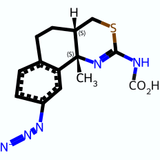 C[C@]12N=C(NC(=O)O)SC[C@H]1CCc1ccc(N=[N+]=[N-])cc12